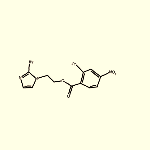 CC(C)c1cc([N+](=O)[O-])ccc1C(=O)OCCn1ccnc1C(C)C